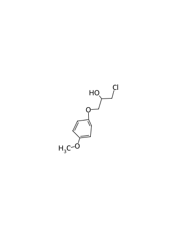 COc1ccc(OCC(O)CCl)cc1